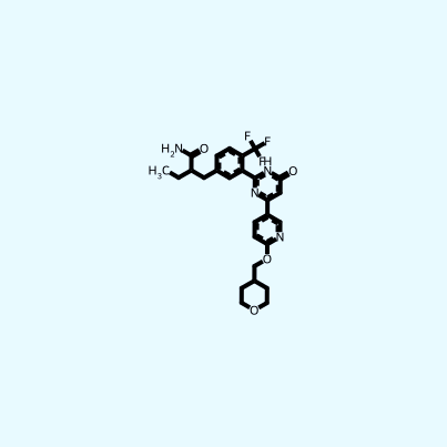 CCC(Cc1ccc(C(F)(F)F)c(-c2nc(-c3ccc(OCC4CCOCC4)nc3)cc(=O)[nH]2)c1)C(N)=O